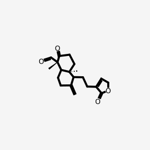 C=C1CCC2[C@@](C)(CCC(=O)[C@@]2(C)C=O)C1CCC1=CCOC1=O